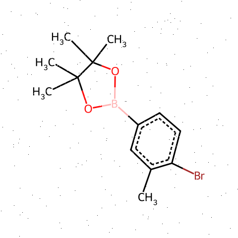 Cc1cc(B2OC(C)(C)C(C)(C)O2)ccc1Br